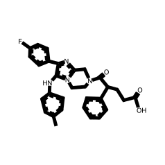 Cc1ccc(Nc2c(-c3ccc(F)cc3)nc3n2CCN(C(=O)C(CCC(=O)O)c2ccccc2)C3)cc1